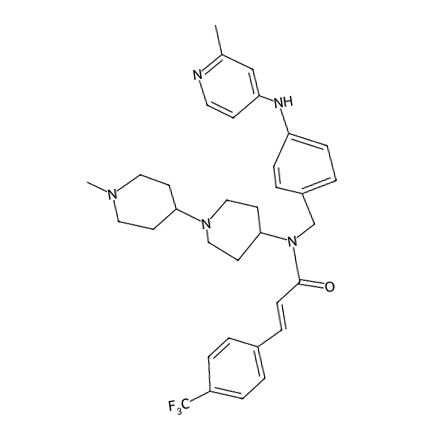 Cc1cc(Nc2ccc(CN(C(=O)C=Cc3ccc(C(F)(F)F)cc3)C3CCN(C4CCN(C)CC4)CC3)cc2)ccn1